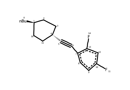 CCCC[C@H]1CC[C@H](C#Cc2ccc(F)cc2F)CC1